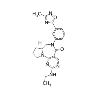 CCNc1ncc2c(n1)N1CCC[C@H]1CN(c1cccc(-c3nc(C)no3)c1)C2=O